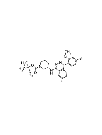 COc1cc(Br)ccc1-c1nnc(NC2CCCN(C(=O)OC(C)(C)C)C2)c2cc(F)ccc12